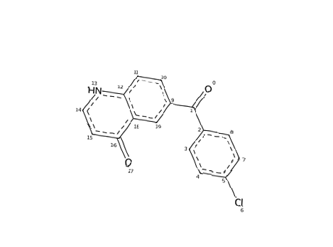 O=C(c1ccc(Cl)cc1)c1ccc2[nH]ccc(=O)c2c1